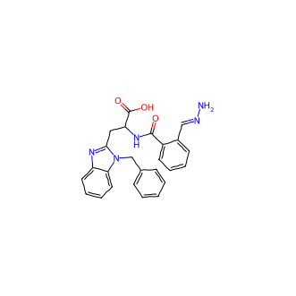 NN=Cc1ccccc1C(=O)NC(Cc1nc2ccccc2n1Cc1ccccc1)C(=O)O